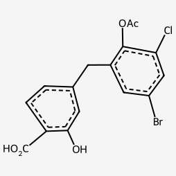 CC(=O)Oc1c(Cl)cc(Br)cc1Cc1ccc(C(=O)O)c(O)c1